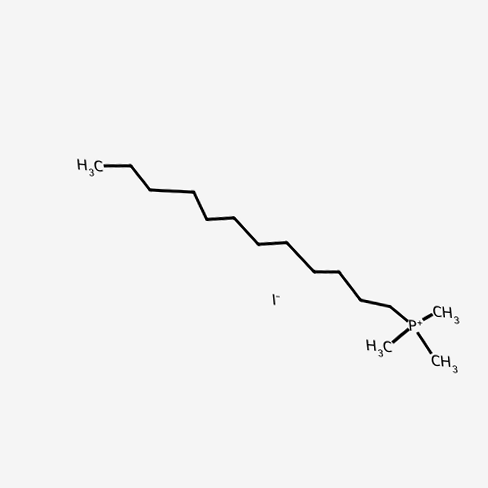 CCCCCCCCCCCC[P+](C)(C)C.[I-]